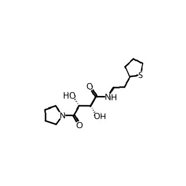 O=C(NCCC1CCCS1)[C@H](O)[C@@H](O)C(=O)N1CCCC1